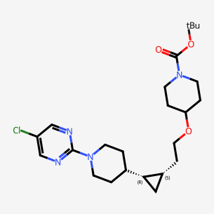 CC(C)(C)OC(=O)N1CCC(OCC[C@@H]2C[C@@H]2C2CCN(c3ncc(Cl)cn3)CC2)CC1